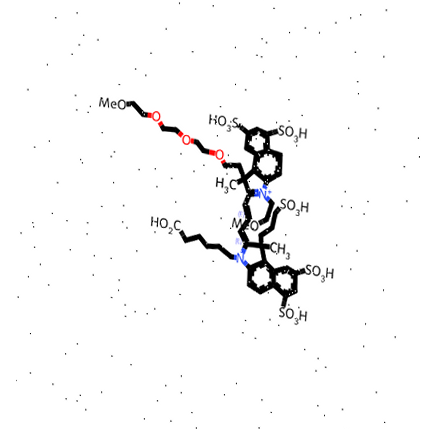 COCCOCCOCCOCCC1(C)C(/C=C/C=C2/N(CCCCCC(=O)O)c3ccc4c(S(=O)(=O)O)cc(S(=O)(=O)O)cc4c3C2(C)CCCS(=O)(=O)O)=[N+](CCOC)c2ccc3c(S(=O)(=O)O)cc(S(=O)(=O)O)cc3c21